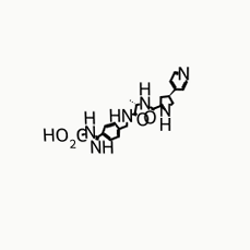 C[C@H](NC(=O)C1C[C@@H](c2ccncc2)CN1)C(=O)NCc1ccc(C(=N)NC(=O)O)cc1